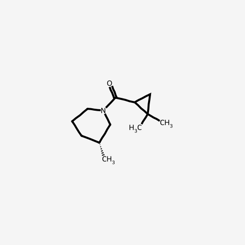 C[C@@H]1CCCN(C(=O)C2CC2(C)C)C1